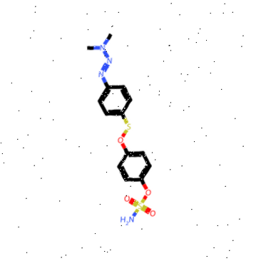 CN(C)N=Nc1ccc(SOc2ccc(OS(N)(=O)=O)cc2)cc1